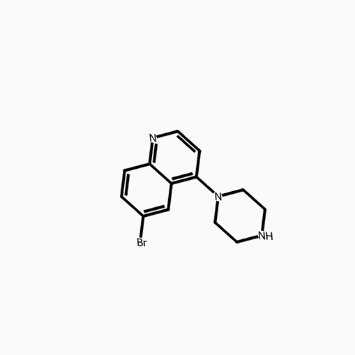 Brc1ccc2nccc(N3CCNCC3)c2c1